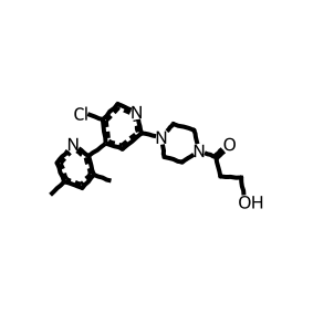 Cc1cnc(-c2cc(N3CCN(C(=O)CCO)CC3)ncc2Cl)c(C)c1